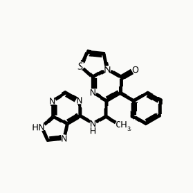 CC(Nc1ncnc2[nH]cnc12)c1nc2sccn2c(=O)c1-c1ccccc1